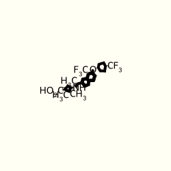 CC(N[C@@H]1C[C@@H](C(=O)O)C1(C)C)c1ccc2ccc(O[C@H]3CC[C@@H](C(F)(F)F)CC3)c(C(F)(F)F)c2c1